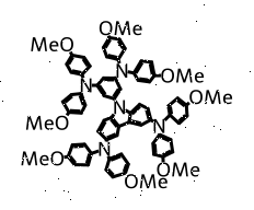 COc1ccc(N(c2ccc(OC)cc2)c2cc(N(c3ccc(OC)cc3)c3ccc(OC)cc3)cc(-n3c4ccc(N(c5ccc(OC)cc5)c5ccc(OC)cc5)cc4c4cc(N(c5ccc(OC)cc5)c5ccc(OC)cc5)ccc43)c2)cc1